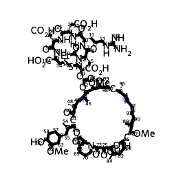 CCC(=O)N[C@@H](CC(=O)O)C(=O)N[C@@H](CCCNC(=N)N)C(=O)N[C@@H](CC(=O)O)C(=O)N[C@@H](CC(=O)O)C(=O)N[C@@H](CSSCCOC(=O)O[C@@H]1/C(C)=C/[C@@H](C)C(=O)C[C@@H]([C@H](C)C[C@@H]2CC[C@@H](O)[C@H](OC)C2)OC(=O)[C@@H]2CCCCN2C(=O)C(=O)[C@]2(O)O[C@@H](CC[C@H]2C)C[C@H](OC)/C(C)=C/C=C/C=C/[C@@H](C)C[C@@H](C)C(=O)[C@@H]1OC)C(=O)O